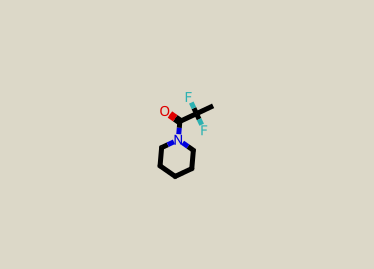 CC(F)(F)C(=O)N1CCCCC1